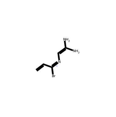 C=C/C(Br)=N\C=C(N)N